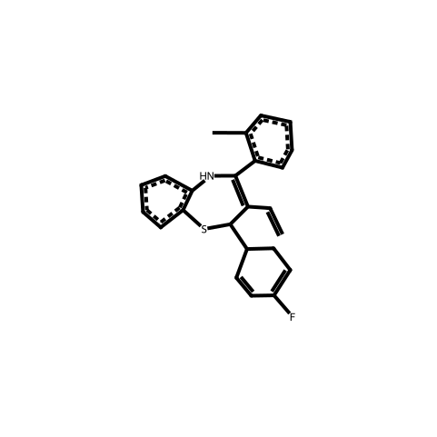 C=CC1=C(c2ccccc2C)Nc2ccccc2SC1C1C=CC(F)=CC1